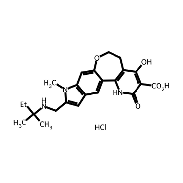 CCC(C)(C)NCc1cc2cc3c(cc2n1C)OCCc1c-3[nH]c(=O)c(C(=O)O)c1O.Cl